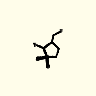 O=S1(=O)CCC(CF)C1F